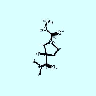 CN(C)C(=O)C1(F)CCN(C(=O)OC(C)(C)C)C1